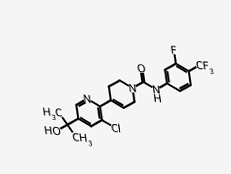 CC(C)(O)c1cnc(C2=CCN(C(=O)Nc3ccc(C(F)(F)F)c(F)c3)CC2)c(Cl)c1